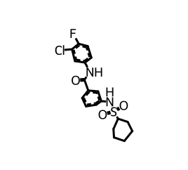 O=C(Nc1ccc(F)c(Cl)c1)c1cccc(NS(=O)(=O)C2CCCCC2)c1